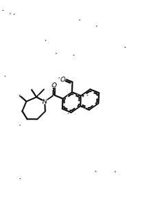 CC1CCCCN(C(=O)c2ccc3ccccc3c2C=O)C1(C)C